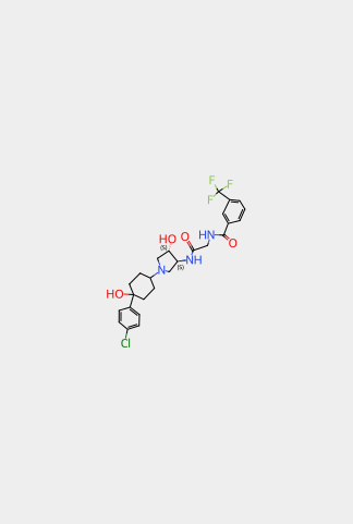 O=C(CNC(=O)c1cccc(C(F)(F)F)c1)N[C@H]1CN(C2CCC(O)(c3ccc(Cl)cc3)CC2)C[C@@H]1O